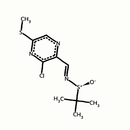 CSc1cnc(C=N[S@@+]([O-])C(C)(C)C)c(Cl)n1